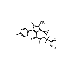 Cc1c(-c2ccc(Cl)cc2)c(C(=O)N(C)CC(C)(C)C(N)=O)n(C2CC2)c1C(F)(F)F